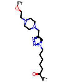 CC(C)OCCN1CCN(Cc2cn(CCCCCC(=O)C(C)C)nn2)CC1